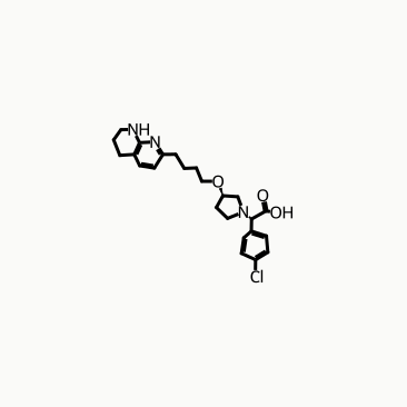 O=C(O)[C@H](c1ccc(Cl)cc1)N1CC[C@@H](OCCCCc2ccc3c(n2)NCCC3)C1